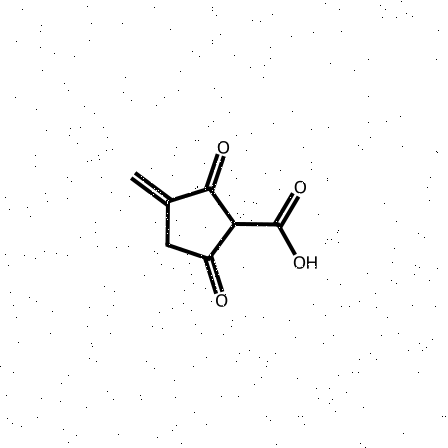 C=C1CC(=O)C(C(=O)O)C1=O